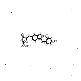 CSC1=NC(=O)/C(=C/c2ccc3c(cnn3Cc3ccc(Cl)cc3Br)c2)S1